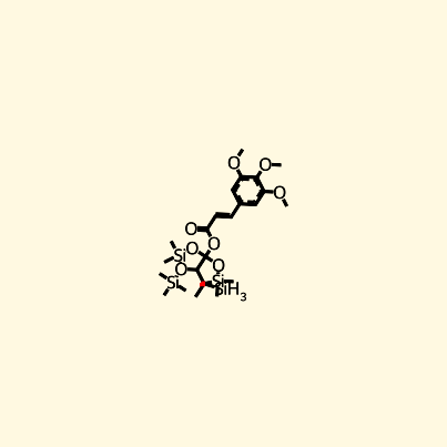 COc1cc(C=CC(=O)OC(O[Si](C)(C)C)(O[Si](C)(C)C)C(O[Si](C)(C)C)C(C)[SiH3])cc(OC)c1OC